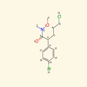 CON(C)C(=O)C(CCCCl)c1ccc(Br)cc1